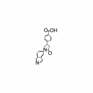 O=C(O)c1ccc(C2CC(=O)N(c3ccc4cnccc4c3)C2)cc1